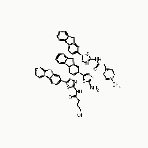 CN1CCN(CC(=O)Nc2ncc(-c3ccc4c(c3)Cc3ccccc3-4)s2)CC1.Nc1ncc(-c2ccc3c(c2)Cc2ccccc2-3)s1.O=C(CCCO)Nc1ncc(-c2ccc3c(c2)Cc2ccccc2-3)s1